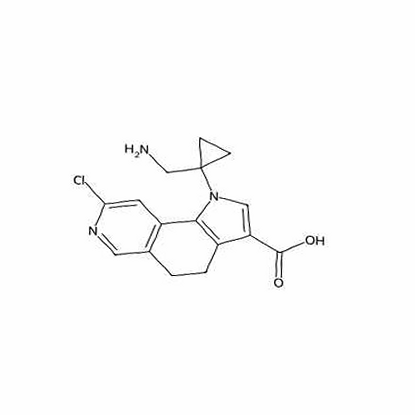 NCC1(n2cc(C(=O)O)c3c2-c2cc(Cl)ncc2CC3)CC1